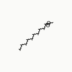 CCCCOC(=O)C=C(C)CCC=C(C)CCC=C(C)CCC=C(C)CCC=C(C)CCC=C(C)CCC=C(C)CCC=C(C)CCC=C(C)CCC=C(C)C